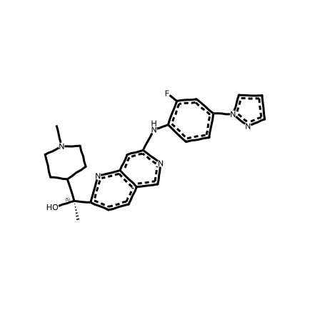 CN1CCC([C@](C)(O)c2ccc3cnc(Nc4ccc(-n5cccn5)cc4F)cc3n2)CC1